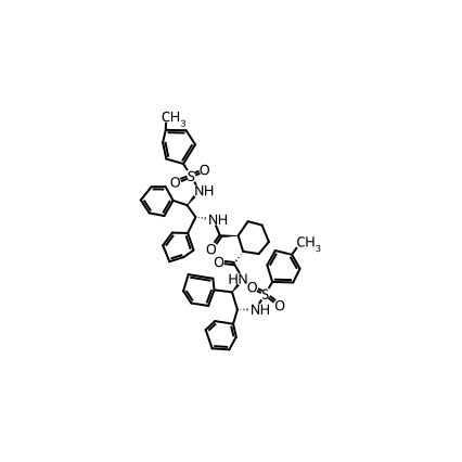 Cc1ccc(S(=O)(=O)N[C@H](c2ccccc2)[C@H](NC(=O)[C@H]2CCCC[C@@H]2C(=O)N[C@H](c2ccccc2)[C@H](NS(=O)(=O)c2ccc(C)cc2)c2ccccc2)c2ccccc2)cc1